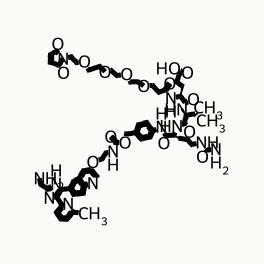 Cc1cccc(-c2nc(CN)[nH]c2-c2ccc3ncc(OCCNC(=O)OCc4ccc(NC(=O)[C@H](CCCNC(N)=O)NC(=O)[C@@H](NC(=O)[C@H](CCC(=O)O)NC(=O)CCOCCOCCOCCOCCN5C(=O)C=CC5=O)C(C)C)cc4)cc3c2)n1